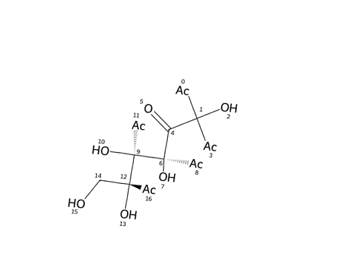 CC(=O)C(O)(C(C)=O)C(=O)[C@](O)(C(C)=O)[C@@](O)(C(C)=O)[C@](O)(CO)C(C)=O